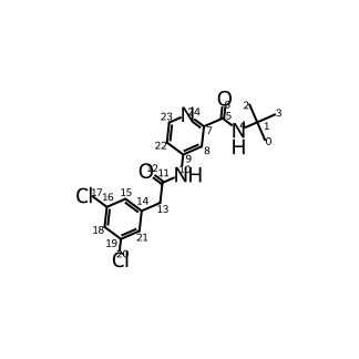 CC(C)(C)NC(=O)c1cc(NC(=O)Cc2cc(Cl)cc(Cl)c2)ccn1